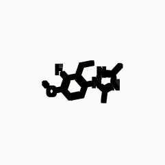 CCc1c(-n2nc(C)nc2C)ccc(OC)c1F